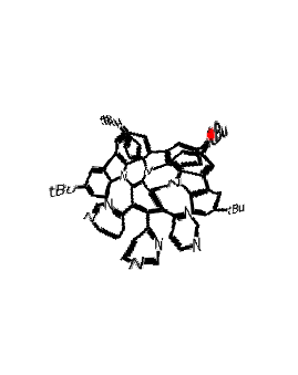 CC(C)(C)c1ccc2c(c1)c1cc(C(C)(C)C)ccc1n2-c1c(-c2ccncn2)c(-c2ccncn2)c(-c2ccncn2)c(-n2c3ccc(C(C)(C)C)cc3c3cc(C(C)(C)C)ccc32)c1-n1c2ccc(C(C)(C)C)cc2c2cc(C(C)(C)C)ccc21